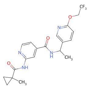 CC(NC(=O)c1ccnc(NC(=O)C2(C)CC2)c1)c1ccc(OCC(F)(F)F)nc1